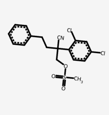 CS(=O)(=O)OCC(C#N)(CCc1ccccc1)c1ccc(Cl)cc1Cl